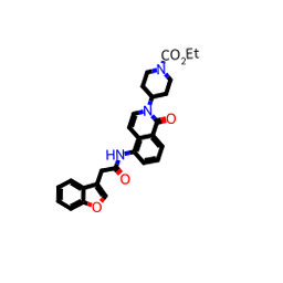 CCOC(=O)N1CCC(n2ccc3c(NC(=O)Cc4coc5ccccc45)cccc3c2=O)CC1